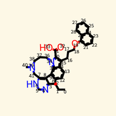 CCCC1=NCNC2=C1c1c(C)ccc3c(CCCOc4cccc5ccccc45)c(C(=O)O)n(c13)CCCN(C)C2